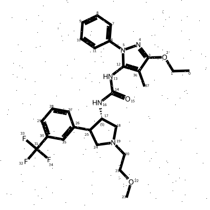 CCOc1nn(-c2ccccc2)c(NC(=O)N[C@@H]2CN(CCOC)CC2c2cccc(C(F)(F)F)c2)c1C